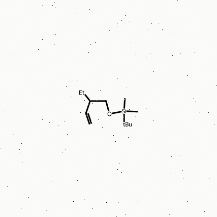 C=CC(CC)CO[Si](C)(C)C(C)(C)C